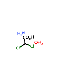 N.O.O=C(O)C(Cl)Cl